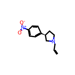 C=CCN1CC[C@H](c2ccc([N+](=O)[O-])cc2)C1